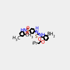 Bc1ccc(OCCC(C)C)c(C(=O)NC(=S)Nc2ccc(S(=O)(=O)Nc3ccc(C)cc3C)cc2)c1